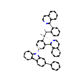 CCC(c1ccccc1-c1nccc2ccccc12)[C@](C)(CC)c1ccc(-n2c3ccccc3c3ccc(-c4ccccc4)cc32)cc1-c1nccc2ccccc12